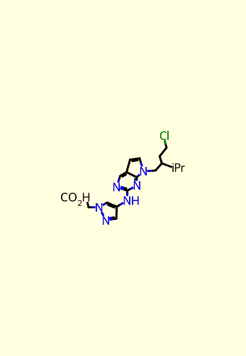 CC(C)C(CCCl)Cn1ccc2cnc(Nc3cnn(CC(=O)O)c3)nc21